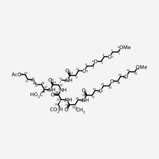 COCCOCCOCCOCCC(=O)NC[C@H](NC(=O)[C@H](CC(=O)O)NC(=O)[C@@H](C)CNC(=O)CCOCCOCCOCCOC)C(=O)NC(CSSCCOC(C)=O)C(=O)O